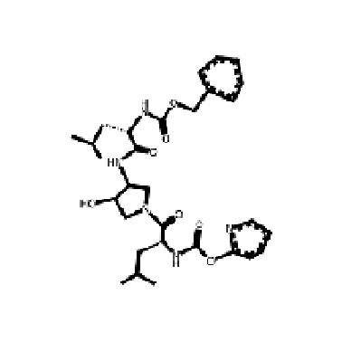 CC(C)C[C@H](NC(=O)OCc1ccccc1)C(=O)NC1CN(C(=O)[C@H](CC(C)C)NC(=O)Oc2ccccn2)CC1O